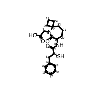 O=C(O)CN1C(=O)C(NC(=O)[C@@H](S)Cc2ccccc2)CCCC12CCC2